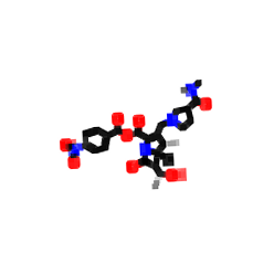 C[C@@H](O)[C@H]1C(=O)N2C(C(=O)OC(=O)c3ccc([N+](=O)[O-])cc3)=C(CN3CC[C@H](C(=O)N(C)C)C3)[C@H](C)[C@H]12